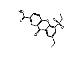 CCc1cc(S(=O)(=O)CC)c2oc3ccc(C(=O)O)cc3c(=O)c2c1